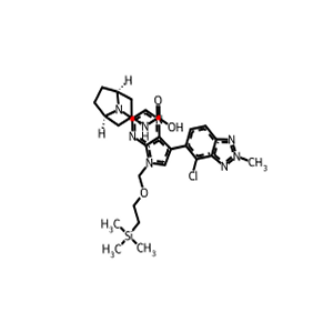 Cn1nc2ccc(-c3cn(COCC[Si](C)(C)C)c4nc(N5[C@@H]6CC[C@H]5C[C@@H](NC(=O)O)C6)cnc34)c(Cl)c2n1